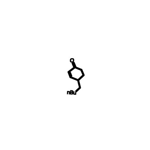 CCCCCC1C=CC(=O)CC1